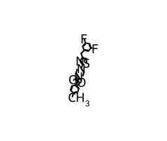 Cc1ccc(S(=O)(=O)N2CCN(c3nc(Cc4cc(F)cc(F)c4)cs3)CC2)cc1